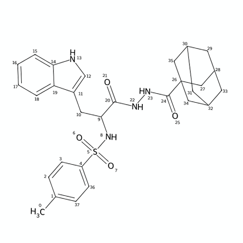 Cc1ccc(S(=O)(=O)NC(Cc2c[nH]c3ccccc23)C(=O)NNC(=O)C23CC4CC(CC(C4)C2)C3)cc1